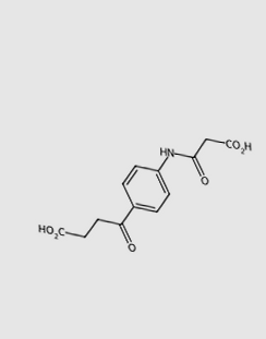 O=C(O)CCC(=O)c1ccc(NC(=O)CC(=O)O)cc1